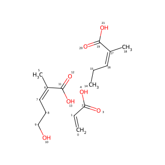 C=CC(=O)O.CC(=CCCO)C(=O)O.CCC=C(C)C(=O)O